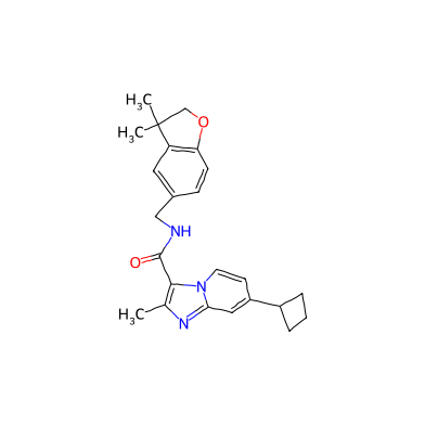 Cc1nc2cc(C3CCC3)ccn2c1C(=O)NCc1ccc2c(c1)C(C)(C)CO2